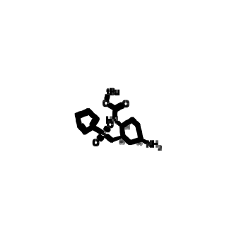 CC(C)(C)OC(=O)N[C@H]1CC[C@@H](N)C[C@H]1CS(=O)(=O)c1ccccc1